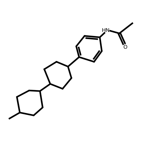 CC(=O)Nc1ccc(C2CCC(C3CCC(C)CC3)CC2)cc1